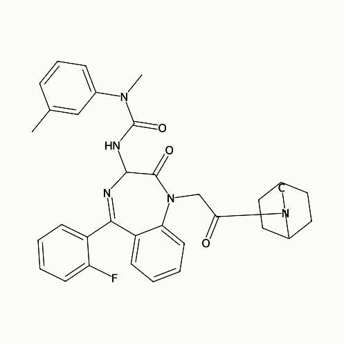 Cc1cccc(N(C)C(=O)NC2N=C(c3ccccc3F)c3ccccc3N(CC(=O)N3CC4CCC(CC4)C3)C2=O)c1